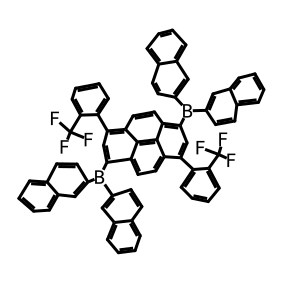 FC(F)(F)c1ccccc1-c1cc(B(c2ccc3ccccc3c2)c2ccc3ccccc3c2)c2ccc3c(-c4ccccc4C(F)(F)F)cc(B(c4ccc5ccccc5c4)c4ccc5ccccc5c4)c4ccc1c2c43